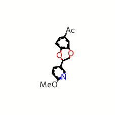 COc1ccc(C2COc3cc(C(C)=O)ccc3O2)cn1